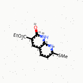 CCOC(=O)c1cc2ccc(SC)nc2[nH]c1=O